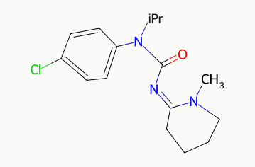 CC(C)N(C(=O)/N=C1/CCCCN1C)c1ccc(Cl)cc1